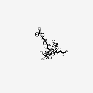 CCCC[Si](C)(O[Si](C)(C)C)O[Si](C)(CCCOCCOC(C)=O)O[Si](C)(C)C